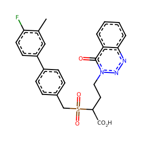 Cc1cc(-c2ccc(CS(=O)(=O)C(CCn3nnc4ccccc4c3=O)C(=O)O)cc2)ccc1F